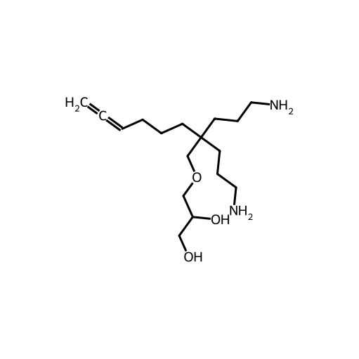 C=C=CCCCC(CCCN)(CCCN)COCC(O)CO